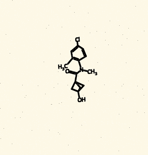 Cc1cc(Cl)ccc1N(C)C(=O)C12CC(O)(C1)C2